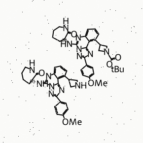 COc1ccc(-c2nc3c4c(C5CN(C(=O)OC(C)(C)C)C5)cccc4nc(N[C@@H]4CCCCNC4=O)n3n2)cc1.COc1ccc(-c2nc3c4c(C5CNC5)cccc4nc(N[C@@H]4CCCCNC4=O)n3n2)cc1